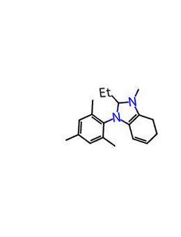 CCC1N(C)C2=C(C=CCC2)N1c1c(C)cc(C)cc1C